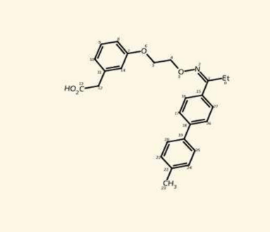 CCC(=NOCCOc1cccc(CC(=O)O)c1)c1ccc(-c2ccc(C)cc2)cc1